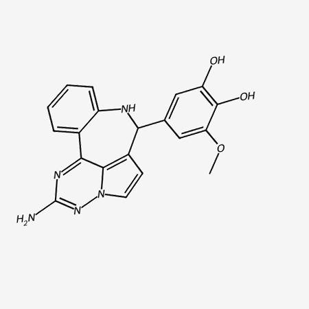 COc1cc(C2Nc3ccccc3-c3nc(N)nn4ccc2c34)cc(O)c1O